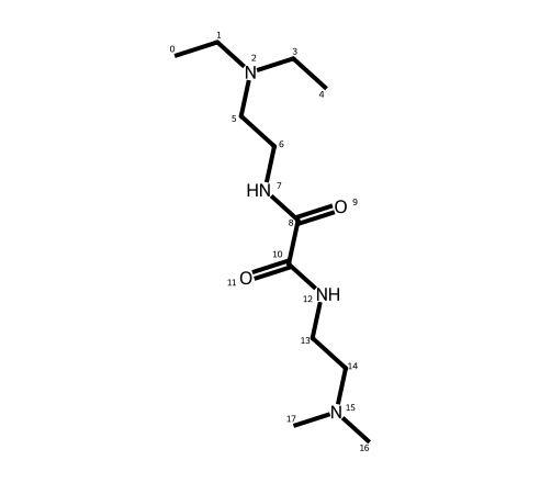 CCN(CC)CCNC(=O)C(=O)NCCN(C)C